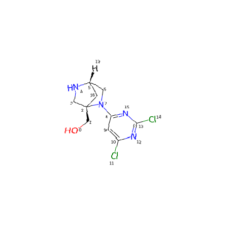 OC[C@]12CN[C@H](CN1c1cc(Cl)nc(Cl)n1)C2